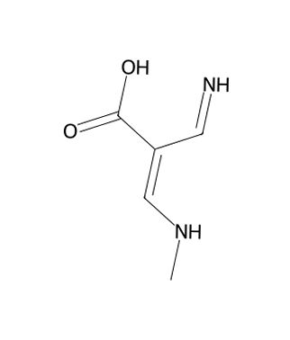 CN/C=C(\C=N)C(=O)O